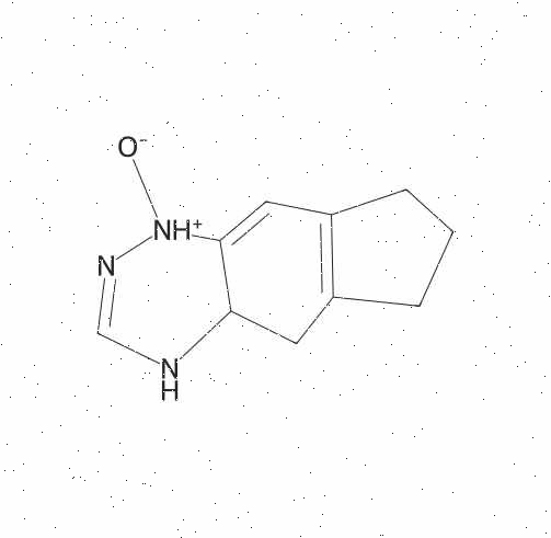 [O-][NH+]1N=CNC2CC3=C(C=C21)CCC3